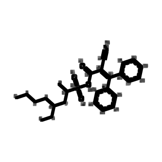 CCCCC(CC)CC(C)S(=O)(=O)OC(=O)C(C#N)=C(c1ccccc1)c1ccccc1